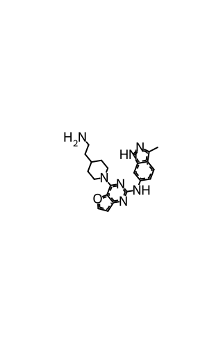 Cc1n[nH]c2cc(Nc3nc(N4CCC(CCN)CC4)c4occc4n3)ccc12